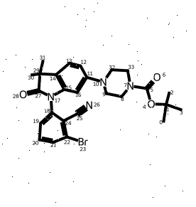 CC(C)(C)OC(=O)N1CCN(c2ccc3c(c2)N(c2cccc(Br)c2C#N)C(=O)C3(C)C)CC1